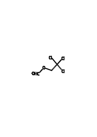 O=[C]OCC(Cl)(Cl)Cl